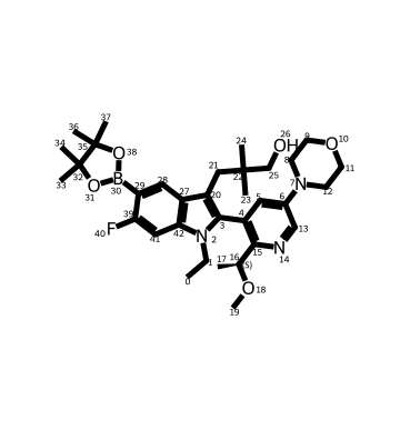 CCn1c(-c2cc(N3CCOCC3)cnc2[C@H](C)OC)c(CC(C)(C)CO)c2cc(B3OC(C)(C)C(C)(C)O3)c(F)cc21